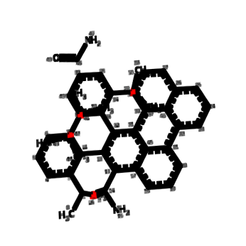 CC(C)c1cccc(C(C)C)c1-c1c(C(N)=O)c2cccc3c4cccc5cccc(c(c1-c1c(C(C)C)cccc1C(C)C)c23)c54.NC=O